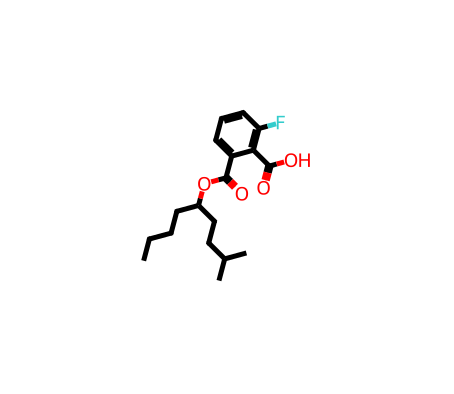 CCCCC(CCC(C)C)OC(=O)c1cccc(F)c1C(=O)O